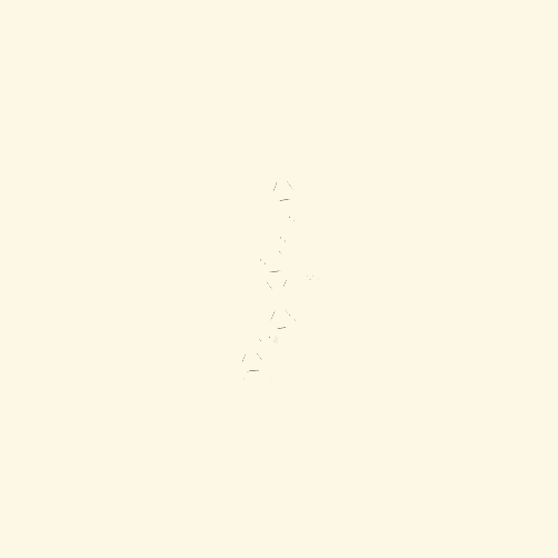 CCN(CC(=O)N1CCN(Cc2ccc3c(c2)OCO3)CC1)c1ccc(Oc2ccc(NC(=O)c3ccc(Cl)c(Cl)c3)cn2)c(OC)c1